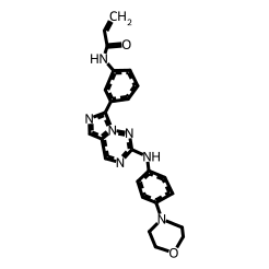 C=CC(=O)Nc1cccc(-c2ncc3cnc(Nc4ccc(N5CCOCC5)cc4)nn23)c1